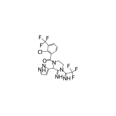 N=C1C(c2ccn[nH]2)N(C(=O)c2cccc(C(F)(F)F)c2Cl)CCN1C(=N)C(F)(F)F